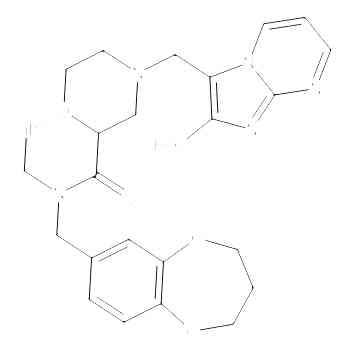 Cc1nc2ncccn2c1CN1CCOC(C(=O)N(Cc2ccc3c(c2)OCCCO3)CC(C)C)C1